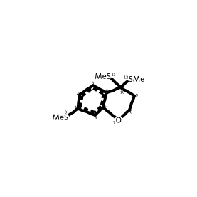 CSc1ccc2c(c1)OCCC2(SC)SC